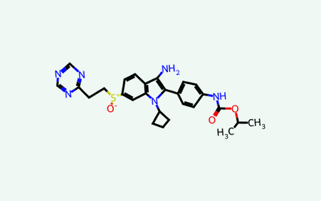 CC(C)OC(=O)Nc1ccc(-c2c(N)c3ccc([S+]([O-])CCc4ncncn4)cc3n2C2CCC2)cc1